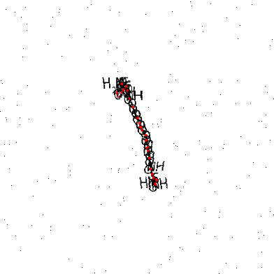 NS(=O)(=O)c1c(F)c(F)c(S(=O)(=O)CCNC(=O)CCOCCOCCOCCOCCOCCOCCOCCOCCOCCOCCOCCOCCNC(=O)CCCCC2SCC3NC(=O)NC32)c(NC2CCCCCCC2)c1F